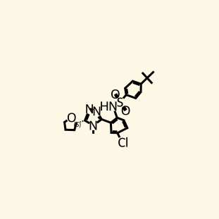 Cn1c(-c2cc(Cl)ccc2NS(=O)(=O)c2ccc(C(C)(C)C)cc2)nnc1[C@@H]1CCCO1